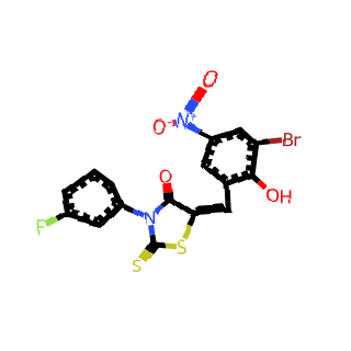 O=C1/C(=C\c2cc([N+](=O)[O-])cc(Br)c2O)SC(=S)N1c1cccc(F)c1